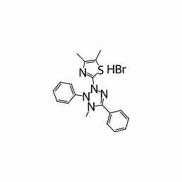 Br.Cc1nc(N2N=C(c3ccccc3)N(C)N2c2ccccc2)sc1C